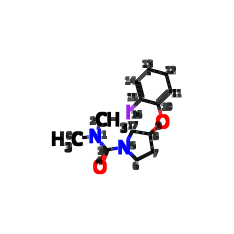 CN(C)C(=O)N1CCC(OC2=CC[CH]C=C2I)C1